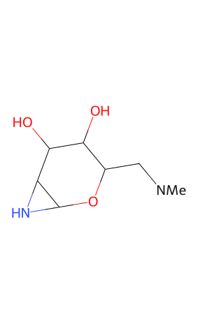 CNCC1OC2NC2C(O)C1O